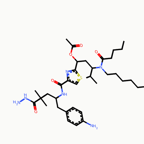 CCCCCCN(C(=O)CCCC)C(CC(OC(C)=O)c1nc(C(=O)NC(Cc2ccc(N)cc2)CC(C)(C)C(=O)NN)cs1)C(C)C